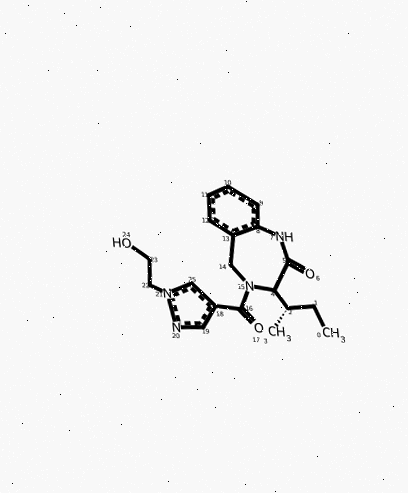 CC[C@H](C)C1C(=O)Nc2ccccc2CN1C(=O)c1cnn(CCO)c1